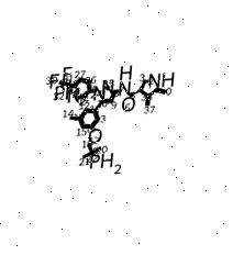 C=C1NC[C@H](C(=O)Nc2cc(-c3cc(C)cc(OCC(C)(C)P)c3)n(-c3ccc(C(F)(F)P)nc3)n2)C1=C